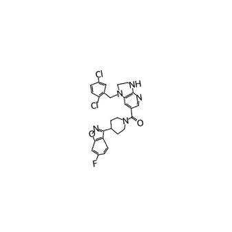 O=C(c1cnc2c(c1)N(Cc1cc(Cl)ccc1Cl)CCN2)N1CCC(c2noc3cc(F)ccc23)CC1